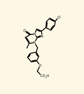 Cc1cc(=O)n2cc(-c3ccc(Cl)cc3)nc2n1Cc1cccc(OCC(=O)O)c1